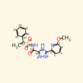 COc1cccc(-c2nnc(C(=O)NS(=O)(=O)C(C)c3ccccc3)[nH]2)n1